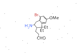 CCC1(CC)c2cc(OC)cc(Br)c2CC(N)C1CCC=O